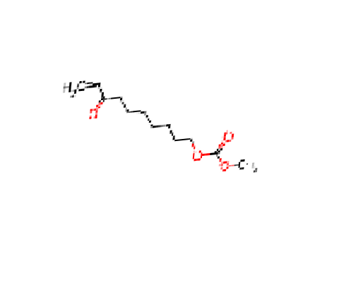 C=CC(=O)CCCCCCCOC(=O)OC